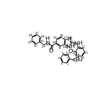 CC(C)(C)c1ccccc1Oc1ncccc1Nc1nc2ccc(C(=O)NCc3ccccc3)cc2[nH]1